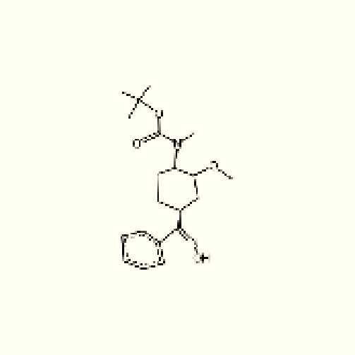 COC1C[C@@H](/C(=N/O)c2ccccc2)CC[C@H]1N(C)C(=O)OC(C)(C)C